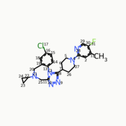 Cc1cc(N2CCC(c3nnc4n3-c3ccc(Cl)cc3CN(C3CC3)C4)CC2)ncc1F